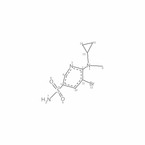 CN(c1ncc(S(N)(=O)=O)cc1Br)C1CC1